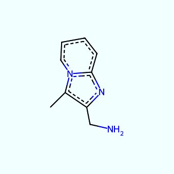 Cc1c(CN)nc2ccccn12